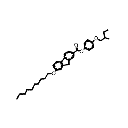 CCCCCCCCCCOc1ccc2c(c1)Cc1cc(C(=O)Oc3ccc(OCC(C)CC)cc3)ccc1-2